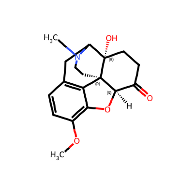 COc1ccc2c3c1O[C@@H]1C(=O)CC[C@]4(O)C(C2)N(C)CC[C@@]314